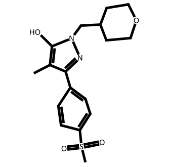 Cc1c(-c2ccc(S(C)(=O)=O)cc2)nn(CC2CCOCC2)c1O